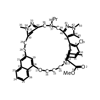 COC(=O)c1c(C)c2c3c(Cl)ccc2n1CCCOc1cc(cc2ccccc12)SCc1cc(nn1C)CN(C(C)C)Cc1nn(C)c(C)c1-3